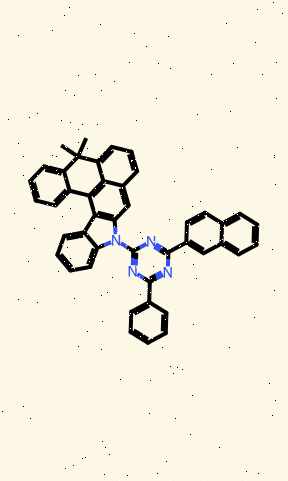 CC1(C)c2ccccc2-c2c3c1cccc3cc1c2c2ccccc2n1-c1nc(-c2ccccc2)nc(-c2ccc3ccccc3c2)n1